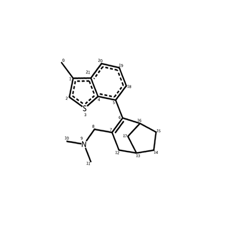 Cc1csc2c(C3=C(CN(C)C)CC4CCC3C4)cccc12